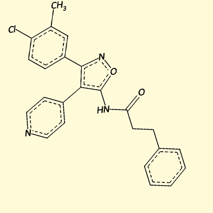 Cc1cc(-c2noc(NC(=O)CCc3ccccc3)c2-c2ccncc2)ccc1Cl